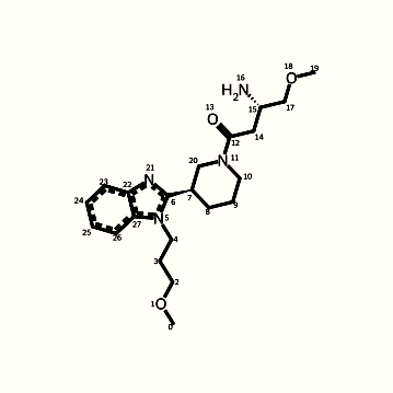 COCCCn1c([C@@H]2CCCN(C(=O)C[C@H](N)COC)C2)nc2ccccc21